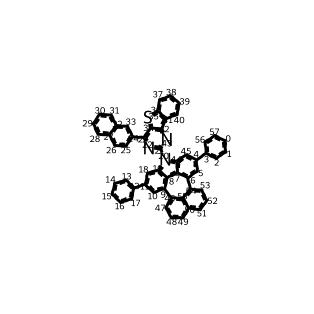 c1ccc(-c2cc3c4c5c(cc(-c6ccccc6)cc5n(-c5nc(-c6ccc7ccccc7c6)c6sc7ccccc7c6n5)c4c2)-c2cccc4cccc-3c24)cc1